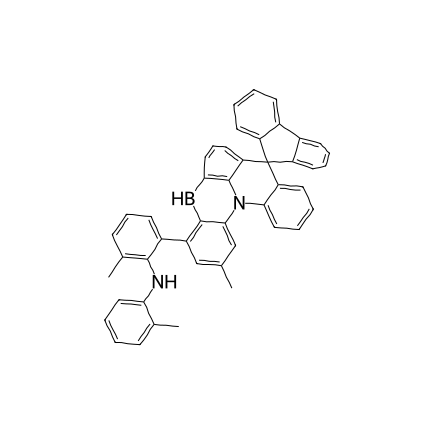 Cc1cc(-c2cccc(C)c2Nc2ccccc2C)c2c(c1)N1c3ccccc3C3(c4ccccc4-c4ccccc43)c3cccc(c31)B2